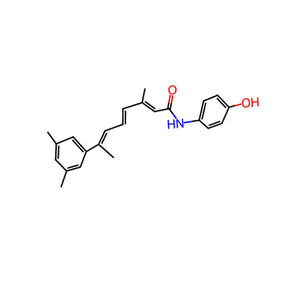 CC(C=CC=C(C)c1cc(C)cc(C)c1)=CC(=O)Nc1ccc(O)cc1